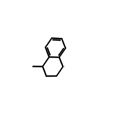 CC1CC[CH]c2ccccc21